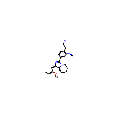 C=Nc1cc(-c2n/c(=C/C(=C\C)OCCC)c3n2CCCCC=3)ccc1CCN